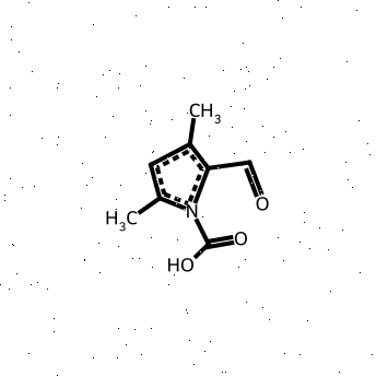 Cc1cc(C)n(C(=O)O)c1C=O